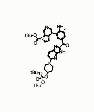 CC(C)(C)OC(=O)n1ccc2c(-c3cc(C(=O)c4nc5ccc(N6CCC(OP(=O)(OC(C)(C)C)OC(C)(C)C)CC6)nc5[nH]4)ccc3N)cncc21